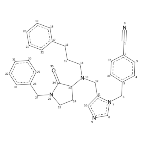 N#Cc1ccc(Cn2cncc2CN(CCCc2ccccc2)C2CCN(Cc3ccccc3)C2=O)cc1